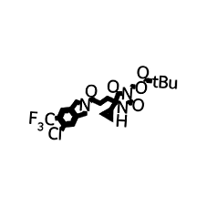 CC(C)(C)C(=O)OCN1C(=O)NC(CCC(=O)N2Cc3cc(Cl)c(C(F)(F)F)cc3C2)(C2CC2)C1=O